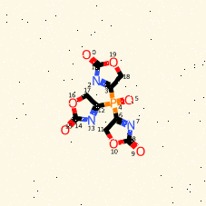 O=C1N=C(P(=O)(C2=NC(=O)OC2)C2=NC(=O)OC2)CO1